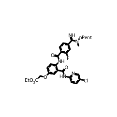 CCCCCN(C)C(=N)c1ccc(C(=O)Nc2ccc(OCC(=O)OCC)cc2C(=O)Nc2ccc(Cl)cn2)c(F)c1